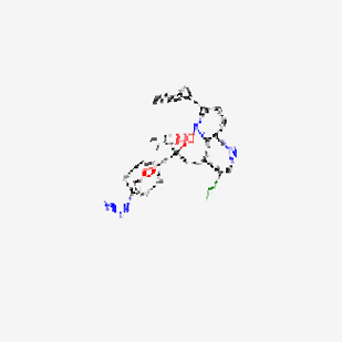 COc1ccc2ncc(F)c(CC(O)(C(F)(F)F)C34CCC(N)(CC3)CO4)c2n1